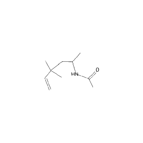 C=CC(C)(C)CC(C)NC(C)=O